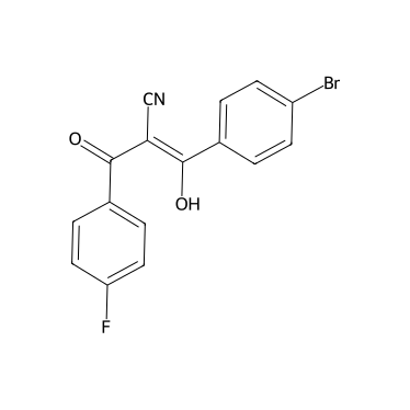 N#CC(C(=O)c1ccc(F)cc1)=C(O)c1ccc(Br)cc1